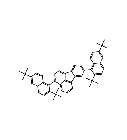 CC(C)(C)c1ccc2c(-c3ccc4c(c3)-c3cccc5c(-c6c(C(C)(C)C)ccc7cc(C(C)(C)C)ccc67)ccc-4c35)c(C(C)(C)C)ccc2c1